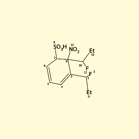 CCC(F)C1=CC=CC(S(=O)(=O)O)C1(C(F)CC)[N+](=O)[O-]